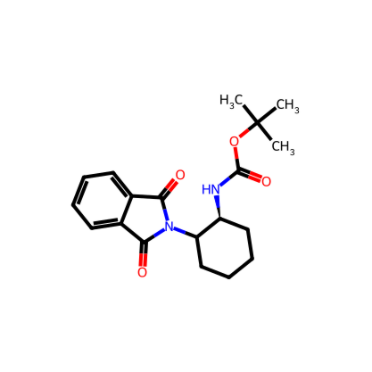 CC(C)(C)OC(=O)N[C@H]1CCCCC1N1C(=O)c2ccccc2C1=O